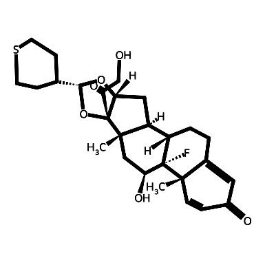 C[C@]12C=CC(=O)C=C1CC[C@H]1[C@@H]3C[C@H]4O[C@@H](C5CCSCC5)O[C@@]4(C(=O)CO)[C@@]3(C)C[C@H](O)[C@@]12F